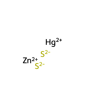 [Hg+2].[S-2].[S-2].[Zn+2]